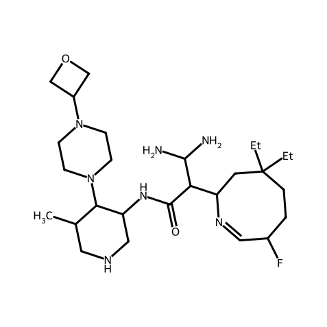 CCC1(CC)CCC(F)/C=N\C(C(C(=O)NC2CNCC(C)C2N2CCN(C3COC3)CC2)C(N)N)C1